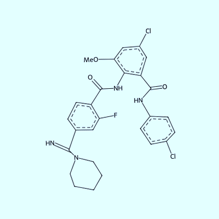 COc1cc(Cl)cc(C(=O)Nc2ccc(Cl)cc2)c1NC(=O)c1ccc(C(=N)N2CCCCC2)cc1F